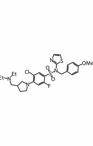 CCN(CC)CC1CCN(c2cc(F)c(S(=O)(=O)N(Cc3ccc(OC)cc3)c3nccs3)cc2Cl)C1